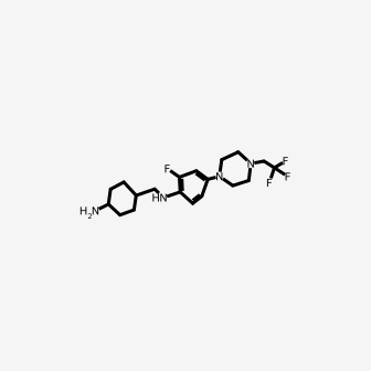 NC1CCC(CNc2ccc(N3CCN(CC(F)(F)F)CC3)cc2F)CC1